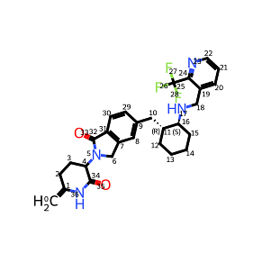 C=C1CCC(N2Cc3cc(C[C@H]4CCCC[C@@H]4NCc4cccnc4C(F)(F)F)ccc3C2=O)C(=O)N1